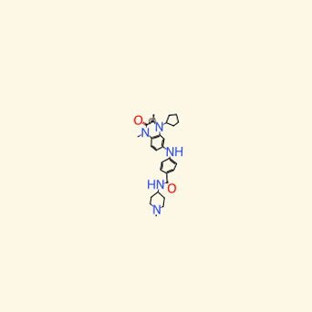 C[C@@H]1C(=O)N(C)c2ccc(Nc3ccc(C(=O)NC4CCN(C)CC4)cc3)cc2N1C1CCCC1